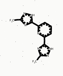 FC(F)(F)c1n[nH]c(-c2cccc(-c3nc(C(F)(F)F)n[nH]3)n2)n1